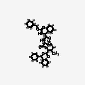 CC1=C(C(=O)OC(c2ccccc2)c2ccccc2)N2C(=O)C(NC(=O)C(NC(=O)OCc3ccccc3)c3ccccc3)[C@H]2SC1